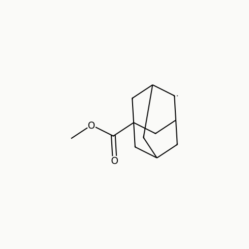 COC(=O)C12CC3[CH]C(CC(C3)C1)C2